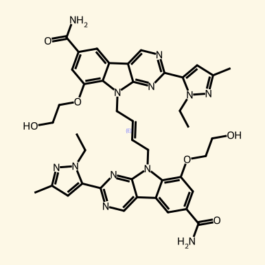 CCn1nc(C)cc1-c1ncc2c3cc(C(N)=O)cc(OCCO)c3n(C/C=C/Cn3c4nc(-c5cc(C)nn5CC)ncc4c4cc(C(N)=O)cc(OCCO)c43)c2n1